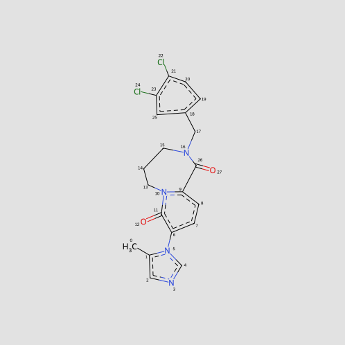 Cc1cncn1-c1ccc2n(c1=O)CCCN(Cc1ccc(Cl)c(Cl)c1)C2=O